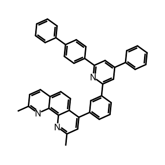 Cc1ccc2ccc3c(-c4cccc(-c5cc(-c6ccccc6)cc(-c6ccc(-c7ccccc7)cc6)n5)c4)cc(C)nc3c2n1